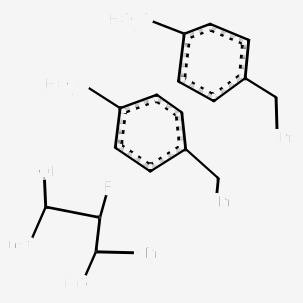 CC(C)Cc1ccc(C(=O)O)cc1.CC(C)Cc1ccc(C(=O)O)cc1.CCCC(O)C(CC)C(O)CCC